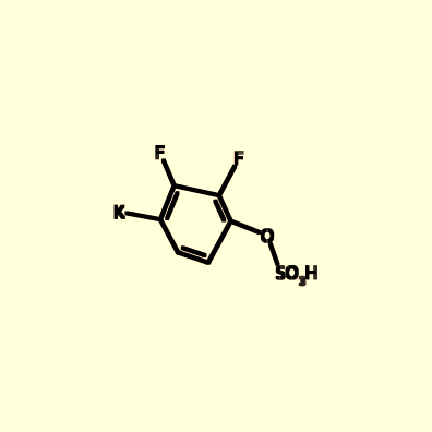 O=S(=O)(O)Oc1cc[c]([K])c(F)c1F